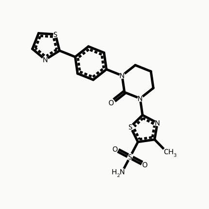 Cc1nc(N2CCCN(c3ccc(-c4nccs4)cc3)C2=O)sc1S(N)(=O)=O